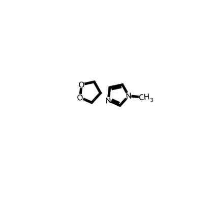 C1COOC1.Cn1ccnc1